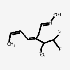 C\C=C/C=C(\C=N\O)C(CC)C(F)F